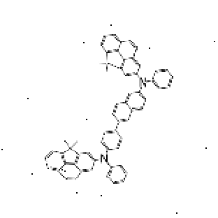 CC1(C)c2cccc3ccc4cc(N(c5ccccc5)c5ccc(-c6ccc7cc(N(c8ccccc8)c8cc9c%10c(ccc%11cccc(c%11%10)C9(C)C)c8)ccc7c6)cc5)cc1c4c23